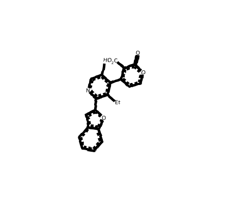 CCc1c(-c2cc3ccccc3o2)ncc(C)c1-c1ccoc(=O)c1C(=O)O